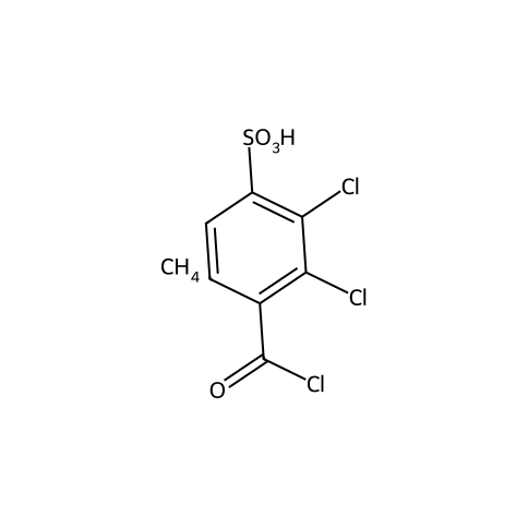 C.O=C(Cl)c1ccc(S(=O)(=O)O)c(Cl)c1Cl